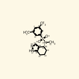 Cc1cc(C(F)(F)F)cc(S(=O)(=O)N(C)[C@@H]2CCCc3[nH]ncc32)c1